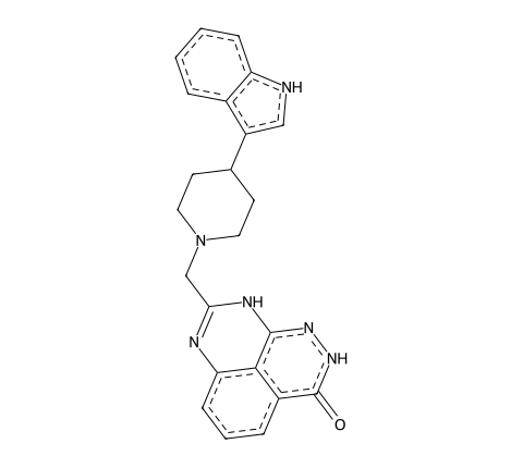 O=c1[nH]nc2c3c(cccc13)N=C(CN1CCC(c3c[nH]c4ccccc34)CC1)N2